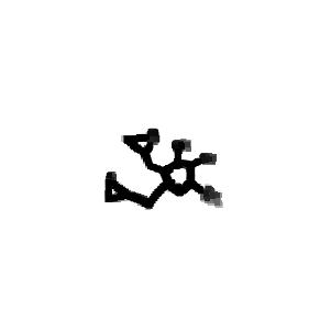 CCCc1cc(CC2CO2)c(CC2CO2)c(O)c1O